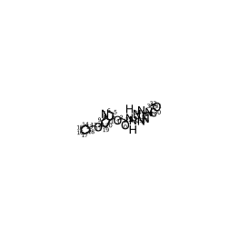 O=C(COc1ccnc2cc(OCc3ccccc3)ccc12)NNc1nnc(N2CCOCC2)nn1